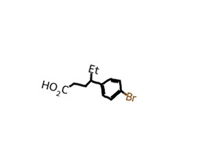 CCC(CCC(=O)O)c1ccc(Br)cc1